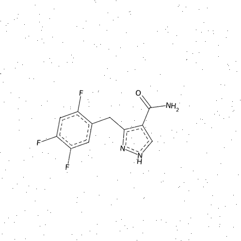 NC(=O)c1c[nH]nc1Cc1cc(F)c(F)cc1F